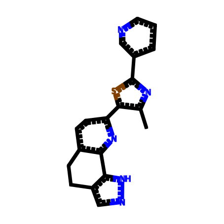 Cc1nc(-c2cccnc2)sc1-c1ccc2c(n1)-c1[nH]ncc1CC2